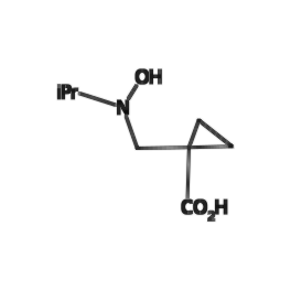 CC(C)N(O)CC1(C(=O)O)CC1